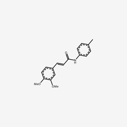 COc1ccc(C=CC(=O)Nc2ccc(C)cc2)cc1OC